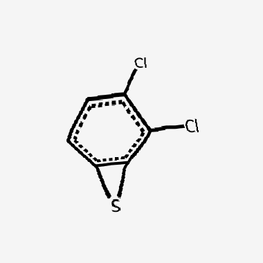 Clc1ccc2c(c1Cl)S2